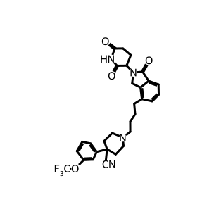 N#CC1(c2cccc(OC(F)(F)F)c2)CCN(CCCCc2cccc3c2CN(C2CCC(=O)NC2=O)C3=O)CC1